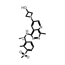 Cc1c([C@@H](C)Nc2nnc(C)c3ncc(N4CC(O)C4)cc23)cccc1S(C)(=O)=O